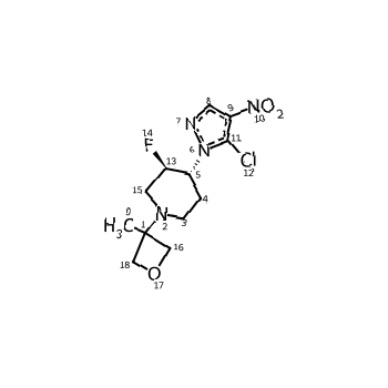 CC1(N2CC[C@@H](n3ncc([N+](=O)[O-])c3Cl)[C@H](F)C2)COC1